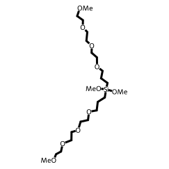 COCCOCCOCCOCCC[Si](CCCOCCOCCOCCOC)(OC)OC